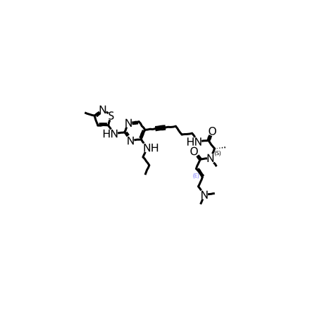 CCCNc1nc(Nc2cc(C)ns2)ncc1C#CCCCNC(=O)[C@H](C)N(C)C(=O)/C=C/CN(C)C